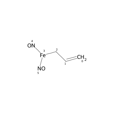 C=C[CH2][Fe]([N]=O)[N]=O